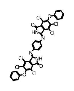 O=C1N/C(=N\c2ccc(/N=C3\NC(=O)c4c(Cl)c(Oc5ccccc5)c(Cl)c(Cl)c43)cc2)c2c(Cl)c(Cl)c(Oc3ccccc3)c(Cl)c21